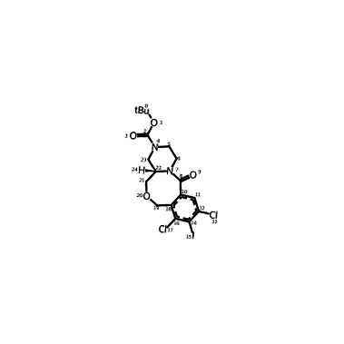 CC(C)(C)OC(=O)N1CCN2C(=O)c3cc(Cl)c(I)c(Cl)c3COC[C@@H]2C1